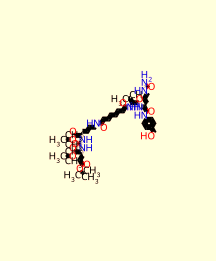 CC(C)[C@H](NC(=O)CCCCCCC(=O)NCCCC[C@H](NC(=O)N[C@@H](CCC(=O)OC(C)(C)C)C(=O)OC(C)(C)C)C(=O)OC(C)(C)C)C(=O)N[C@@H](CCCNC(N)=O)C(=O)Nc1ccc(CO)cc1